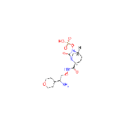 NC(CONC(=O)[C@@H]1CC[C@@H]2CN1C(=O)N2OS(=O)(=O)O)C1CCOCC1